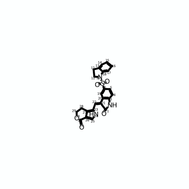 O=C1Nc2ccc(S(=O)(=O)N3CCc4ccccc43)cc2C1=Cc1[nH]cc2c1CCOC2=O